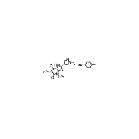 CCCn1c(=O)c2[nH]c(-c3cnn(CCC#Cc4ccc(C)cc4)c3)nc2n(CCC)c1=O